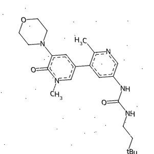 Cc1ncc(NC(=O)NCCC(C)(C)C)cc1-c1cc(N2CCOCC2)c(=O)n(C)c1